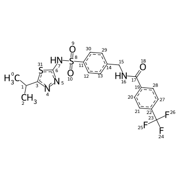 CC(C)c1nnc(NS(=O)(=O)c2ccc(CNC(=O)c3ccc(C(F)(F)F)cc3)cc2)s1